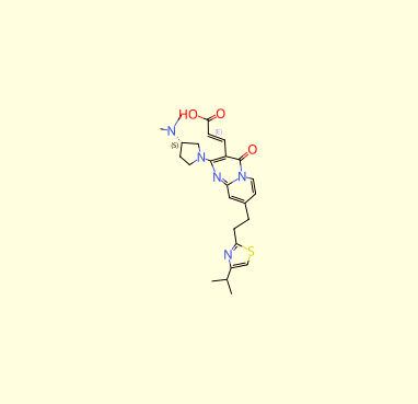 CC(C)c1csc(CCc2ccn3c(=O)c(/C=C/C(=O)O)c(N4CC[C@H](N(C)C)C4)nc3c2)n1